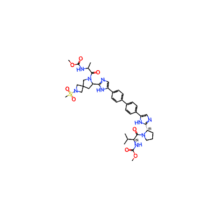 COC(=O)NC(C)C(=O)N1CC2(CC1c1ncc(-c3ccc(-c4ccc(-c5cnc([C@@H]6CCCN6C(=O)[C@@H](NC(=O)OC)C(C)C)[nH]5)cc4)cc3)[nH]1)CN(S(C)(=O)=O)C2